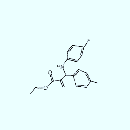 C=C(C(=O)OCC)C(Nc1ccc(F)cc1)c1ccc(C)cc1